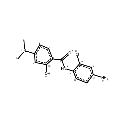 CN(C)c1ccc(C(=O)Nc2ccc(N)cc2Cl)c(O)c1